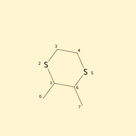 CC1SCCSC1C